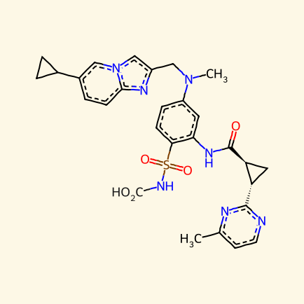 Cc1ccnc([C@H]2C[C@@H]2C(=O)Nc2cc(N(C)Cc3cn4cc(C5CC5)ccc4n3)ccc2S(=O)(=O)NC(=O)O)n1